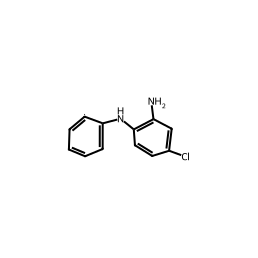 Nc1cc(Cl)ccc1Nc1[c]cccc1